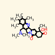 CC[C@@]1(O)C(=O)CCc2c1cc1n(c2=O)Cc2c-1nc1c(C)c(C)c(C)c(C)c1c2CN(C)C